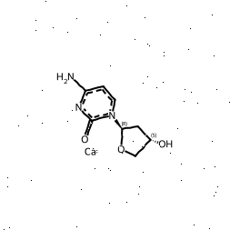 Nc1ccn([C@H]2C[C@H](O)CO2)c(=O)n1.[Ca]